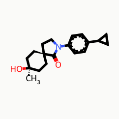 C[C@]1(O)CC[C@]2(CCN(c3ccc(C4CC4)cc3)C2=O)CC1